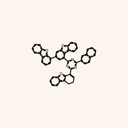 C1=C(c2nc(-c3ccc4ccccc4c3)nc(-c3cc(-c4cccc5c4oc4ccccc45)cc4oc5ccccc5c34)n2)c2oc3ccccc3c2CC1